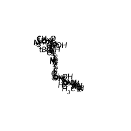 Cc1ncsc1-c1ccc(CNC(=O)[C@@H]2C[C@@H](O)CN2C(=O)[C@@H](NC(=O)CCCc2cn(CCCCCOc3cccc(CNC(=O)c4cccc(NCc5nnc(-c6ccncn6)n5C)c4)c3)nn2)C(C)(C)C)cc1